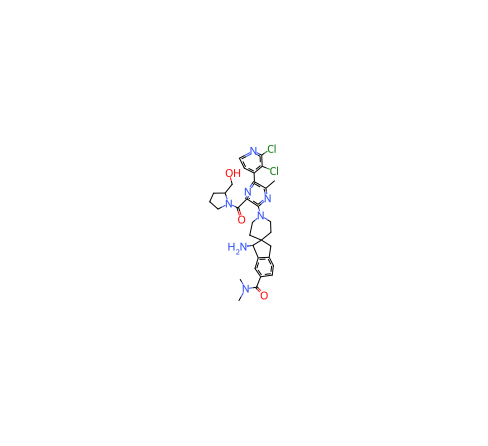 Cc1nc(N2CCC3(CC2)Cc2ccc(C(=O)N(C)C)cc2[C@H]3N)c(C(=O)N2CCCC2CO)nc1-c1ccnc(Cl)c1Cl